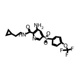 Nc1cc(S(=O)(=O)c2ccc(OC(F)(F)F)cc2)cnc1C(=O)NCCC1CC1